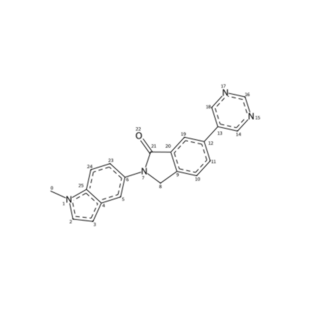 Cn1ccc2cc(N3Cc4ccc(-c5cncnc5)cc4C3=O)ccc21